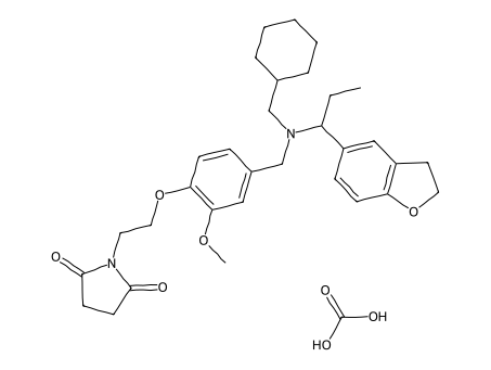 CCC(c1ccc2c(c1)CCO2)N(Cc1ccc(OCCN2C(=O)CCC2=O)c(OC)c1)CC1CCCCC1.O=C(O)O